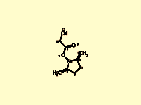 C=C1CCC(=C)N1OC(=O)CC#N